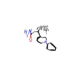 CCCCCCCC(C(N)=O)C1CCN(c2ccccc2)CC1